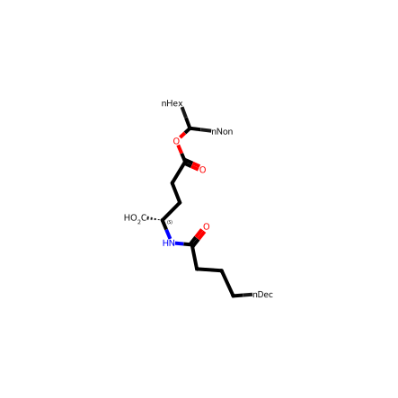 CCCCCCCCCCCCCC(=O)N[C@@H](CCC(=O)OC(CCCCCC)CCCCCCCCC)C(=O)O